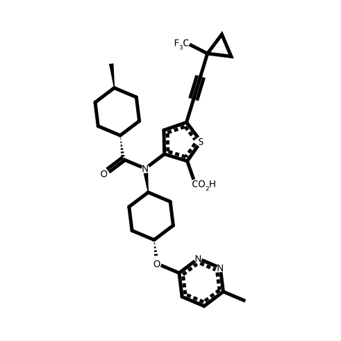 Cc1ccc(O[C@H]2CC[C@H](N(c3cc(C#CC4(C(F)(F)F)CC4)sc3C(=O)O)C(=O)[C@H]3CC[C@H](C)CC3)CC2)nn1